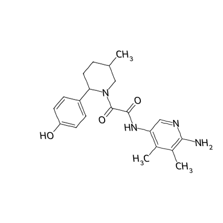 Cc1c(NC(=O)C(=O)N2CC(C)CCC2c2ccc(O)cc2)cnc(N)c1C